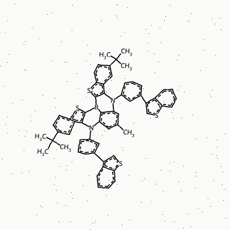 Cc1cc2c3c(c1)N(c1cccc(-c4csc5ccccc45)c1)c1c(sc4ccc(C(C)(C)C)cc14)B3c1sc3ccc(C(C)(C)C)cc3c1N2c1cccc(-c2csc3ccccc23)c1